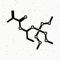 C=C(C)C(=O)OC(CC)O[Si](OOC)(OOC)OOC